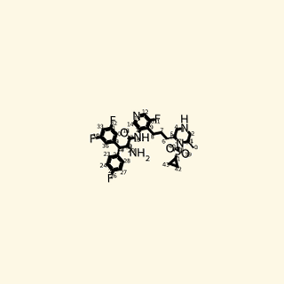 C[C@@H]1CNC[C@H](CCCc2c(F)cncc2NC(=O)[C@@H](N)[C@@H](c2ccc(F)cc2)c2cc(F)cc(F)c2)N1S(=O)(=O)C1CC1